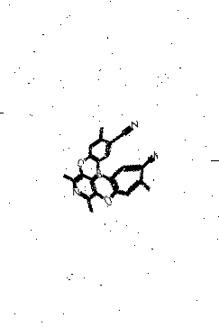 Cc1cc2c(cc1C#N)B1c3cc(C#N)c(C)cc3Oc3c(C)nc(C)c(c31)O2